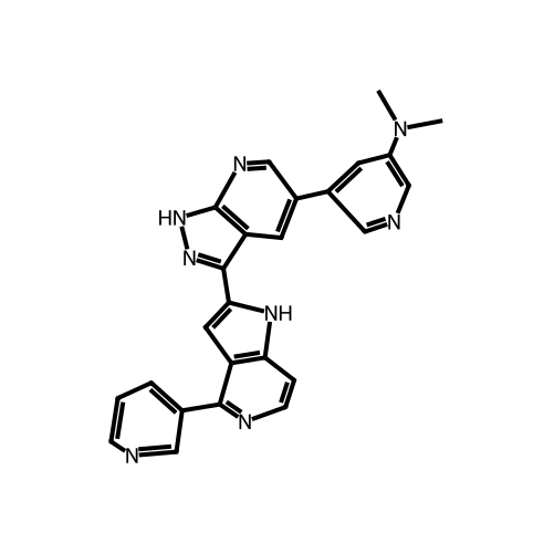 CN(C)c1cncc(-c2cnc3[nH]nc(-c4cc5c(-c6cccnc6)nccc5[nH]4)c3c2)c1